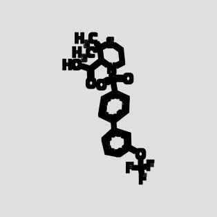 CC1(C)SCCN(S(=O)(=O)c2ccc(-c3cccc(OC(F)(F)F)c3)cc2)C1C(=O)O